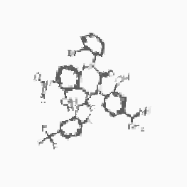 N=C(N)c1ccc(N(C(=O)Nc2ccccc2Br)N(C(=O)Nc2cc(C(F)(F)F)ccc2Cl)c2cccc([N+](=O)[O-])c2O)c(O)c1